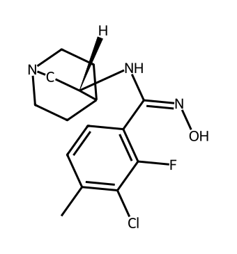 Cc1ccc(/C(=N\O)N[C@H]2CN3CCC2CC3)c(F)c1Cl